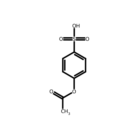 CC(=O)Oc1ccc(S(=O)(=O)O)cc1